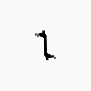 CCCCC(c1ccc(CCCCCCCCCCCCCCCCCCCCc2ccc(C(CCCC)c3ccc(N)cc3C)cc2)cc1)c1ccc(N)cc1C